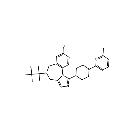 Cc1ccnc(N2CCC(c3nnc4n3-c3ccc(Cl)cc3CN(C(C)(C)C(F)(F)F)C4)CC2)n1